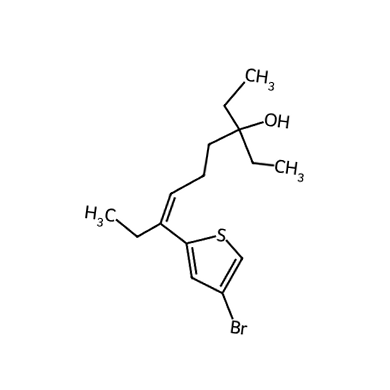 CC/C(=C/CCC(O)(CC)CC)c1cc(Br)cs1